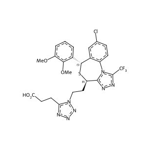 COc1cccc([C@H]2S[C@H](CCn3nnnc3CCC(=O)O)c3nnc(C(F)(F)F)n3-c3ccc(Cl)cc32)c1OC